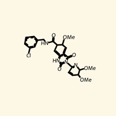 COC1C=CC(n2c(=O)[nH]c3c(c2=O)=CC(OC)C(C(=O)NCc2cccc(Cl)c2)C=3)=NC1OC